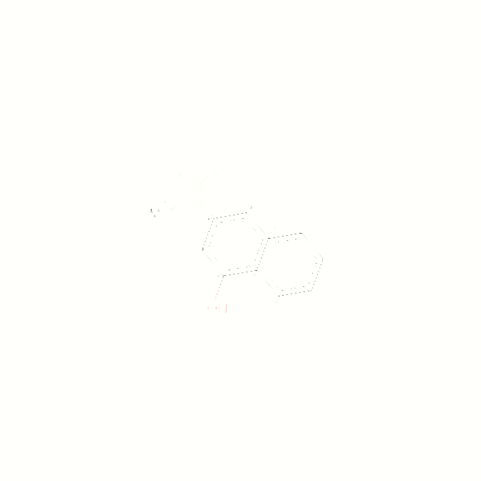 O=[S](=O)([Mo])c1cc(O)c2ccccc2c1